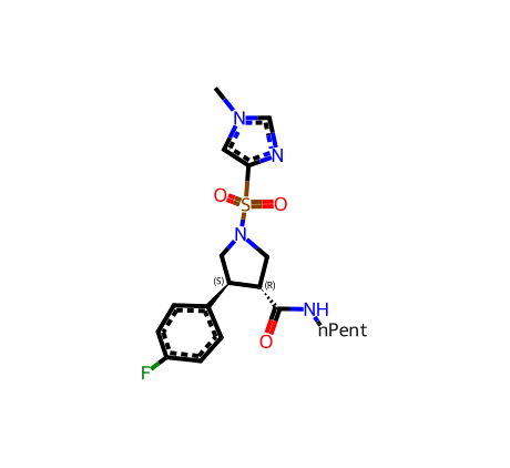 CCCCCNC(=O)[C@H]1CN(S(=O)(=O)c2cn(C)cn2)C[C@@H]1c1ccc(F)cc1